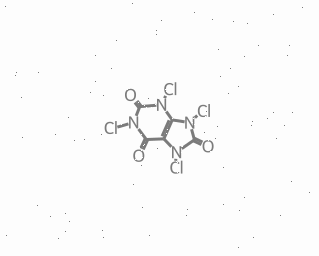 O=c1c2c(n(Cl)c(=O)n1Cl)n(Cl)c(=O)n2Cl